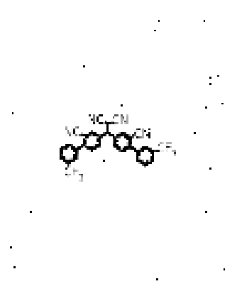 N#Cc1cc(C(c2ccc(-c3cccc(C(F)(F)F)c3)c(C#N)c2)C(C#N)C#N)ccc1-c1cccc(C(F)(F)F)c1